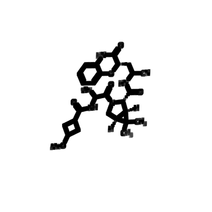 COC1CC(C(=O)NC(C(=O)N2C[C@H]3[C@@H]([C@H]2C(=O)NC(C#N)C[C@@H]2Oc4ccccc4NC2=O)C3(C)C)C(C)(C)C)C1